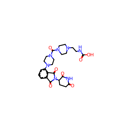 O=C(O)NCCN1CCN(C(=O)N2CCN(c3cccc4c3C(=O)N(C3CCC(=O)NC3=O)C4=O)CC2)CC1